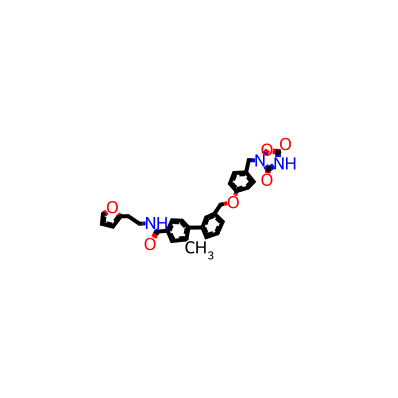 Cc1cc(C(=O)NCCc2ccco2)ccc1-c1cccc(COc2ccc(Cn3oc(=O)[nH]c3=O)cc2)c1